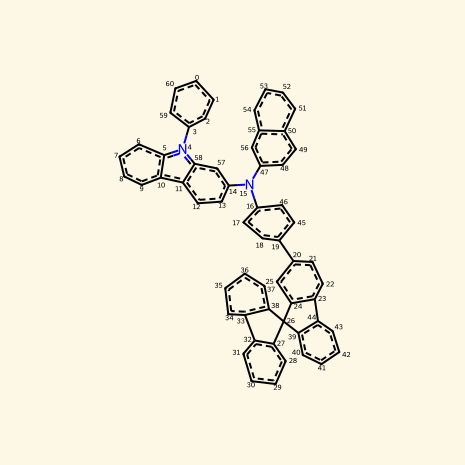 c1ccc(-n2c3ccccc3c3ccc(N(c4ccc(-c5ccc6c(c5)C5(c7ccccc7-c7ccccc75)c5ccccc5-6)cc4)c4ccc5ccccc5c4)cc32)cc1